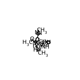 CC(=O)c1nn(CC(=O)N2[C@H](C(=O)N[C@@H](Cc3ccccc3)C(=O)O)C[C@@]3(C)C[C@@H]23)c2c(C)cc(-c3cnc(C)nc3)cc12